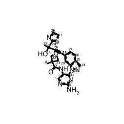 CC1(C(=O)Nc2cnc(N)nc2-n2ncc3ccc(C#CC(C)(O)c4nccs4)cc32)COC1